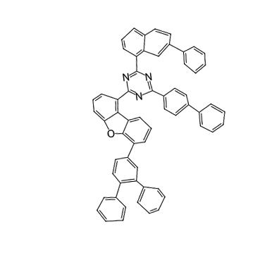 c1ccc(-c2ccc(-c3nc(-c4cccc5ccc(-c6ccccc6)cc45)nc(-c4cccc5oc6c(-c7ccc(-c8ccccc8)c(-c8ccccc8)c7)cccc6c45)n3)cc2)cc1